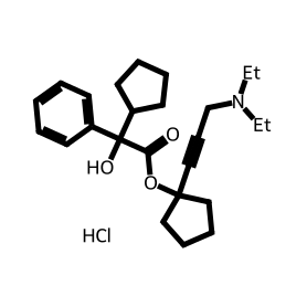 CCN(CC)CC#CC1(OC(=O)C(O)(c2ccccc2)C2CCCC2)CCCC1.Cl